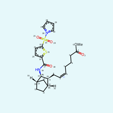 COC(=O)CCC/C=C\C[C@H]1[C@@H]2CC[C@@H](C2)[C@H]1NC(=O)c1ccc(S(=O)(=O)n2cccc2)s1